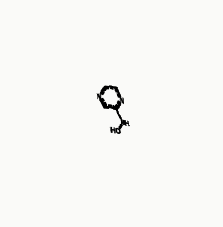 OBc1cnccn1